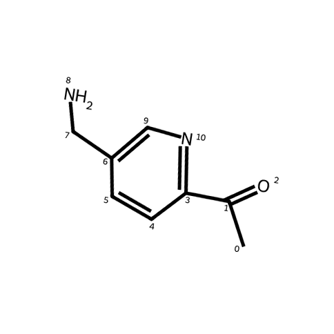 CC(=O)c1ccc(CN)cn1